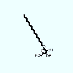 CCCCCCCCCCCCCCCCOC1O[C@H](CO)[C@@H](O)[C@@H]1O